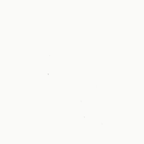 Fc1cccc(CSCCCCCl)c1